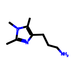 Cc1nc(CCCN)c(C)n1C